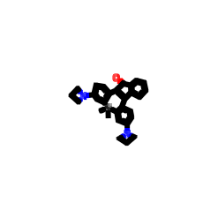 C[Si]1(C)c2cc(N3CCC3)ccc2C2=C(c3ccccc3C2=O)c2ccc(N3CCC3)cc21